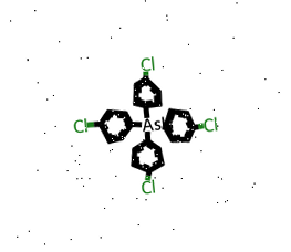 Clc1ccc([AsH](c2ccc(Cl)cc2)(c2ccc(Cl)cc2)c2ccc(Cl)cc2)cc1